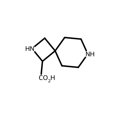 O=C(O)C1NCC12CCNCC2